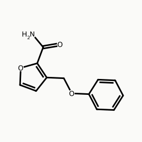 NC(=O)c1occc1COc1ccccc1